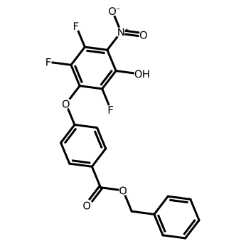 O=C(OCc1ccccc1)c1ccc(Oc2c(F)c(O)c([N+](=O)[O-])c(F)c2F)cc1